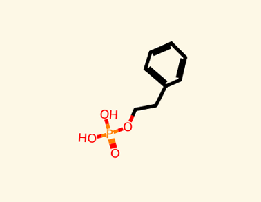 O=P(O)(O)OCCc1ccccc1